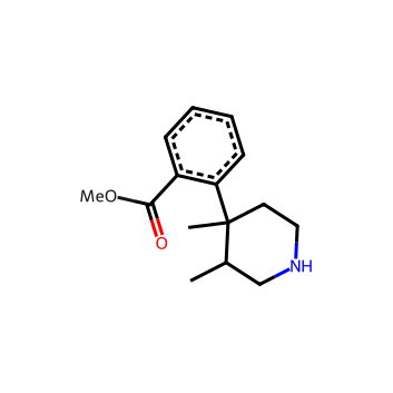 COC(=O)c1ccccc1C1(C)CCNCC1C